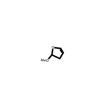 COC1CC=CO1